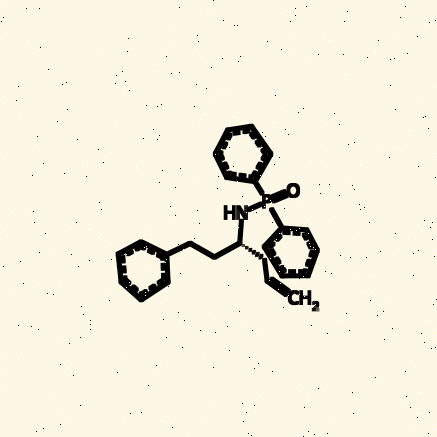 C=CC[C@H](CCc1ccccc1)NP(=O)(c1ccccc1)c1ccccc1